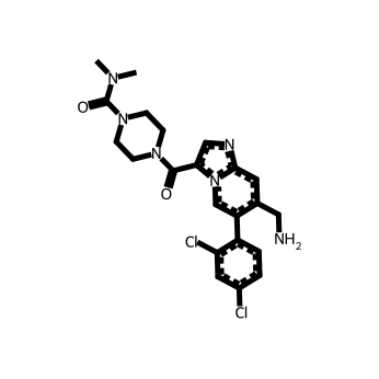 CN(C)C(=O)N1CCN(C(=O)c2cnc3cc(CN)c(-c4ccc(Cl)cc4Cl)cn23)CC1